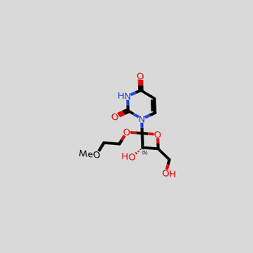 COCCOC1(n2ccc(=O)[nH]c2=O)OC(CO)[C@@H]1O